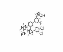 Cc1nc(-c2cc(-c3cc(F)c(CO)c([S+](C)[O-])c3)ccc2-n2cc(C(F)(F)F)nc2C)c(-c2ccc(Cl)c(Cl)c2)o1